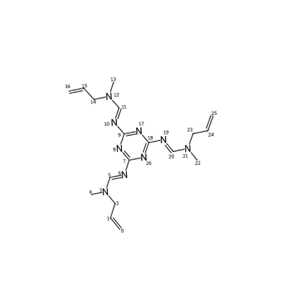 C=CCN(C)C=Nc1nc(N=CN(C)CC=C)nc(N=CN(C)CC=C)n1